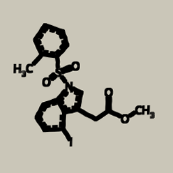 COC(=O)Cc1cn(S(=O)(=O)c2ccccc2C)c2cccc(I)c12